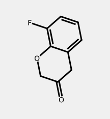 O=C1COc2c(F)cccc2C1